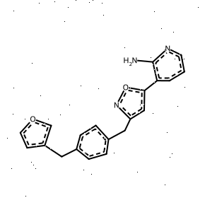 Nc1ncccc1-c1cc(Cc2ccc(Cc3ccoc3)cc2)no1